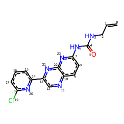 C=CCNC(=O)Nc1ccc2ncc(-c3cccc(Cl)n3)nc2n1